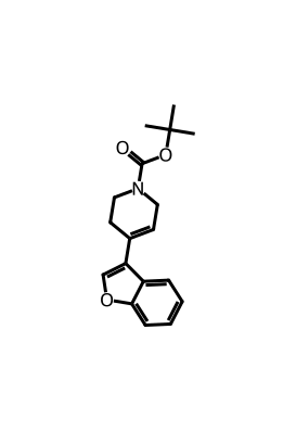 CC(C)(C)OC(=O)N1CC=C(c2coc3ccccc23)CC1